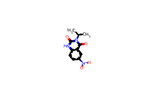 CC(C)n1c(=O)[nH]c2ccc([N+](=O)[O-])cc2c1=O